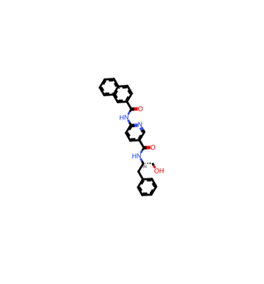 O=C(Nc1ccc(C(=O)N[C@H](CO)Cc2ccccc2)cn1)c1ccc2ccccc2c1